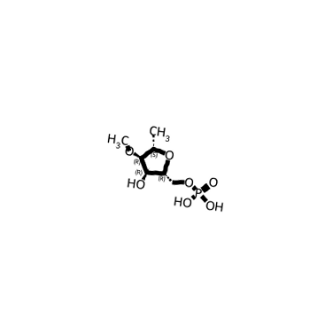 CO[C@@H]1[C@H](O)[C@@H](COP(=O)(O)O)O[C@H]1C